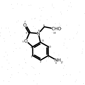 Nc1ccc2oc(=O)n(C[C]=O)c2c1